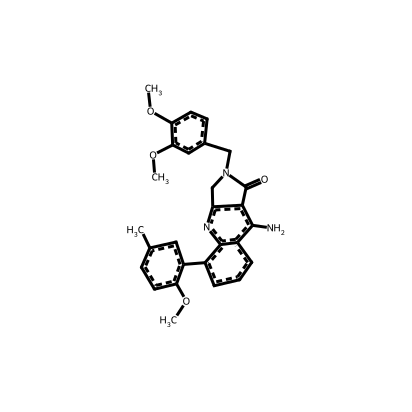 COc1ccc(CN2Cc3nc4c(-c5cc(C)ccc5OC)cccc4c(N)c3C2=O)cc1OC